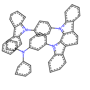 c1ccc(N(c2ccccc2)c2cccc(-n3c4ccccc4c4ccc5c6ccccc6n(-c6ccc(-n7c8ccccc8c8ccccc87)cc6)c5c43)c2)cc1